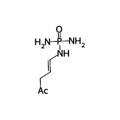 CC(=O)CC=CNP(N)(N)=O